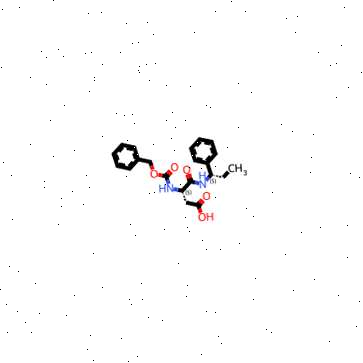 CC[C@H](NC(=O)[C@H](CC(=O)O)NC(=O)OCc1ccccc1)c1ccccc1